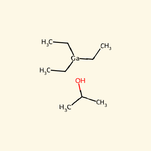 CC(C)O.C[CH2][Ga]([CH2]C)[CH2]C